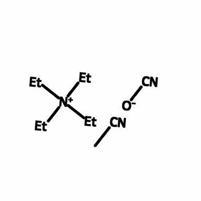 CC#N.CC[N+](CC)(CC)CC.N#C[O-]